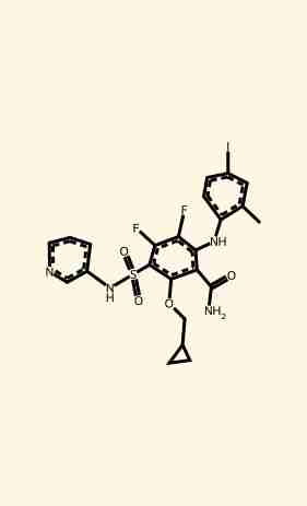 Cc1cc(I)ccc1Nc1c(F)c(F)c(S(=O)(=O)Nc2cccnc2)c(OCC2CC2)c1C(N)=O